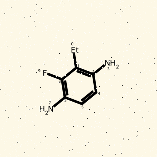 CCc1c(N)ccc(N)c1F